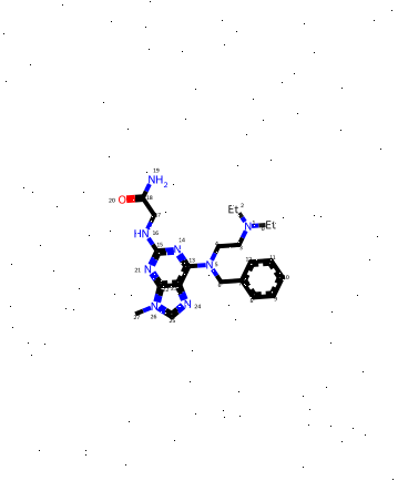 CCN(CC)CCN(Cc1ccccc1)c1nc(NCC(N)=O)nc2c1ncn2C